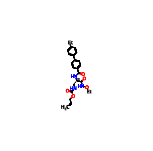 C=CCOC(=O)NC[C@H](NC(=O)c1ccc(-c2ccc(CC)cc2)cc1)C(=O)NOCC